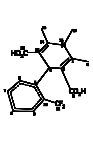 CC1=C(C(=O)O)C(c2ccccc2C(F)(F)F)C(C(=O)O)=C(C)N1C